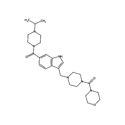 CC(C)N1CCN(C(=O)c2ccc3c(CN4CCN(C(=O)N5CCOCC5)CC4)c[nH]c3c2)CC1